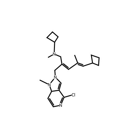 CC(=C\C1CCC1)/C=C(\CN(C)C1CCC1)CN1C=C2C(Cl)=NC=CC2N1C